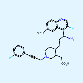 COc1ccc2ncc(F)c(C(N)CCC3CCN(CC#Cc4cccc(F)c4)CC3CC(=O)O)c2c1